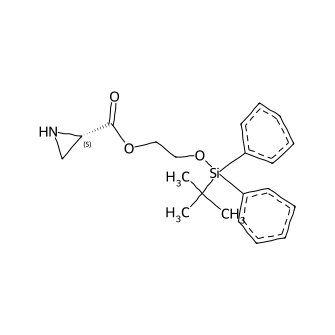 CC(C)(C)[Si](OCCOC(=O)[C@@H]1CN1)(c1ccccc1)c1ccccc1